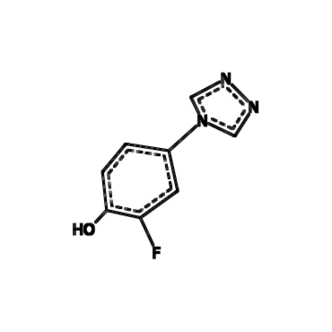 Oc1ccc(-n2cnnc2)cc1F